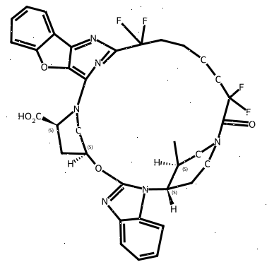 C[C@H]1CN2CC[C@@H]1n1c(nc3ccccc31)O[C@H]1C[C@@H](C(=O)O)N(C1)c1nc(nc3c1oc1ccccc13)C(F)(F)CCCCC(F)(F)C2=O